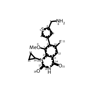 COc1c(-c2csc(CN)c2)c(F)cc2c(=O)[nH]c(=O)n(C3CC3)c12